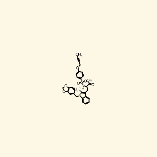 CC#CCOc1ccc(S(=O)(=O)NC(Cc2c(C)n(Cc3ccc4c(c3)OCO4)c3ccccc23)C(=O)O)cc1